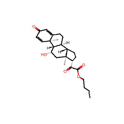 CCCCOC(=O)C(=O)[C@H]1CC[C@H]2[C@@H]3CCC4=CC(=O)C=C[C@]4(C)[C@H]3[C@@H](O)C[C@]12C